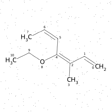 C=C/C(C)=C(\C=C/C)OCC